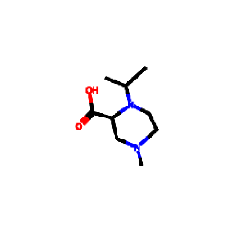 CC(C)N1CCN(C)CC1C(=O)O